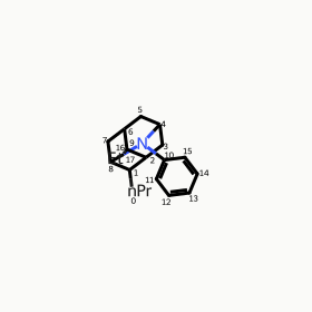 CCCC1C2CC3CC(CC1N3c1ccccc1)C2CC